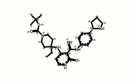 CCC1(Nc2cc[nH]c(=O)c2C(=N)Nc2ccc([C@H]3CCCN3)cc2)CCN(C(=O)OC(C)(C)C)CC1